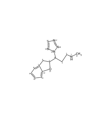 CNCCC(C1Cc2ccccc2O1)n1ncnn1